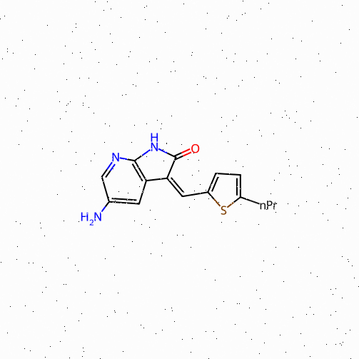 CCCc1ccc(C=C2C(=O)Nc3ncc(N)cc32)s1